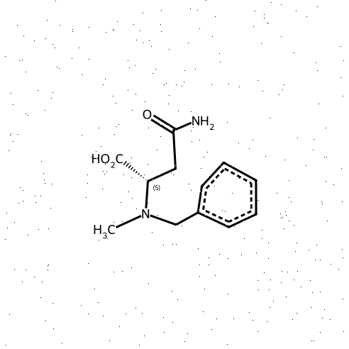 CN(Cc1ccccc1)[C@@H](CC(N)=O)C(=O)O